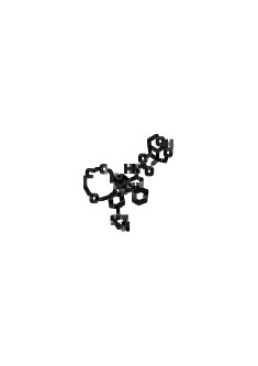 CC12CO[C@@H]3OCC(CC31)[C@@H]2OC(=O)N[C@@H](Cc1ccccc1)[C@H](O)CN1CCCCCCCOCc2cc(-c3cncs3)ccc2S1(=O)=O